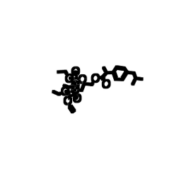 C#COP(=O)(OCC)OCC(COC(=O)C(C)c1ccc(CC(C)C)cc1)OP(=O)(OCC)OCC